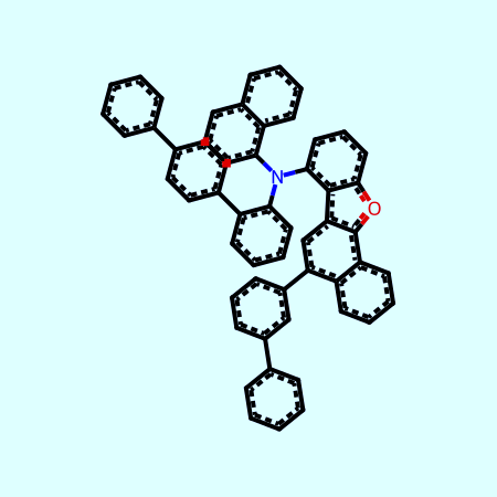 c1ccc(-c2ccc(-c3ccccc3N(c3cccc4ccccc34)c3cccc4oc5c6ccccc6c(-c6cccc(-c7ccccc7)c6)cc5c34)cc2)cc1